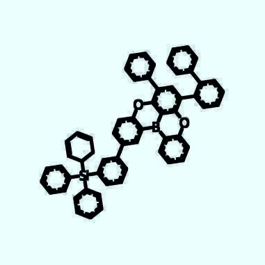 C1=CCC([Si](c2ccccc2)(c2ccccc2)c2cccc(-c3ccc4c(c3)B3c5ccccc5Oc5c(-c6ccccc6-c6ccccc6)cc(-c6ccccc6)c(c53)O4)c2)C=C1